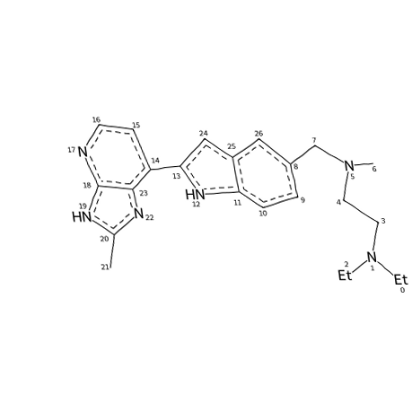 CCN(CC)CCN(C)Cc1ccc2[nH]c(-c3ccnc4[nH]c(C)nc34)cc2c1